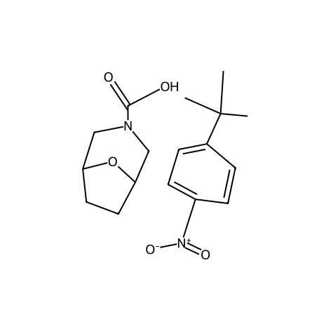 CC(C)(C)c1ccc([N+](=O)[O-])cc1.O=C(O)N1CC2CCC(C1)O2